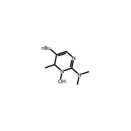 CCCCC1=CN=C(N(C)C)N(O)C1C